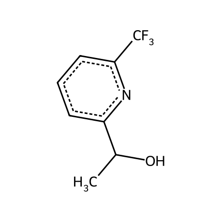 CC(O)c1cccc(C(F)(F)F)n1